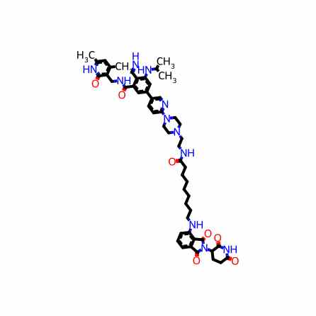 Cc1cc(C)c(CNC(=O)c2cc(-c3ccc(N4CCN(CCNC(=O)CCCCCCCCNc5cccc6c5C(=O)N(C5CCC(=O)NC5=O)C6=O)CC4)nc3)cc(NC(C)C)c2C=N)c(=O)[nH]1